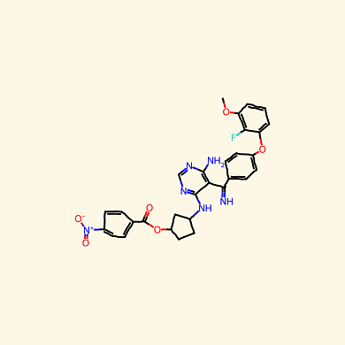 COc1cccc(Oc2ccc(C(=N)c3c(N)ncnc3NC3CCC(OC(=O)c4ccc([N+](=O)[O-])cc4)C3)cc2)c1F